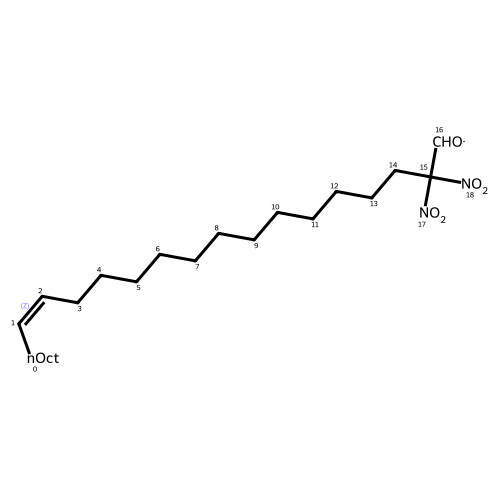 CCCCCCCC/C=C\CCCCCCCCCCCCC([C]=O)([N+](=O)[O-])[N+](=O)[O-]